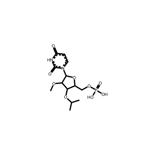 COC1C(OC(C)C)C(COP(=O)(O)O)OC1n1ccc(=O)[nH]c1=O